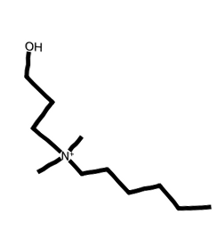 CCCCCC[N+](C)(C)CCCO